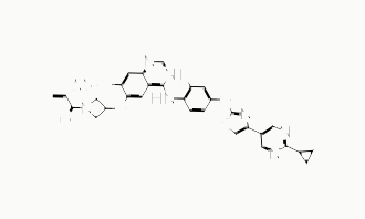 C=CC(=O)N1CC(Oc2cc3c(Nc4ccc(Oc5nc(-c6cnc(C7CC7)nc6)cs5)cc4F)ncnc3cc2OC)C1